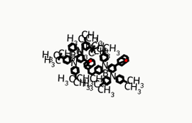 CC(C)c1ccc(N2c3ccc(C(C)C)cc3B3c4cc(C(C)CC5C6CC7CC5CC(c5cc8c9c(c5)N(c5ccc(C(C)(C)C)cc5)c5ccc(C(C)(C)C)cc5B9c5ccccc5N8c5cc(C(C)(C)C)cc(C(C)(C)C)c5)(C7)C6)ccc4N(c4ccc(C(C)C)cc4)c4cc(C56CC7CC(CC(C7)C5)C6)cc2c43)cc1